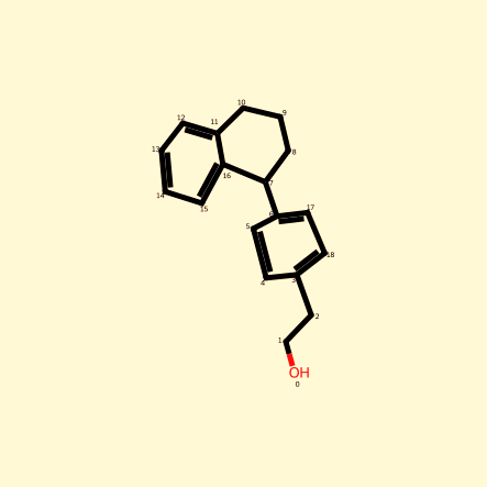 OCCc1ccc(C2CCCc3ccccc32)cc1